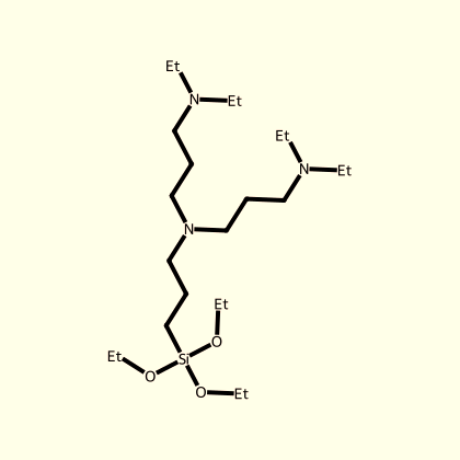 CCO[Si](CCCN(CCCN(CC)CC)CCCN(CC)CC)(OCC)OCC